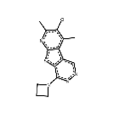 Cc1nc2sc3c(N4CCC4)nncc3c2c(C)c1Cl